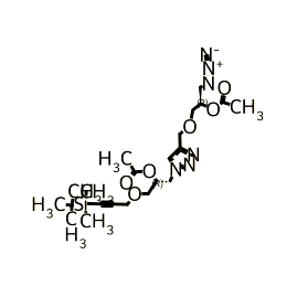 CC(=O)O[C@H](CN=[N+]=[N-])COCc1cn(C[C@H](COCC#C[Si](C)(C)C(C)(C)C)OC(C)=O)nn1